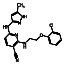 Cc1cc(Nc2ccc(C#N)c(NCCOc3ccccc3Cl)n2)n[nH]1